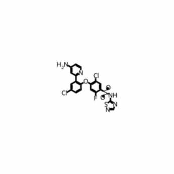 Nc1ccnc(-c2cc(Cl)ccc2Oc2cc(F)c(S(=O)(=O)Nc3ncns3)cc2Cl)c1